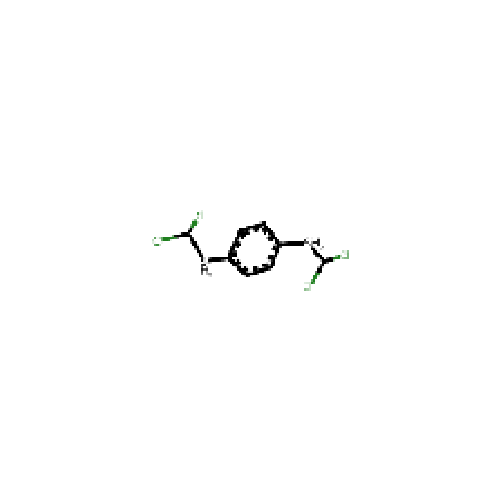 ClC(Cl)[SiH2]c1ccc([SiH2]C(Cl)Cl)cc1